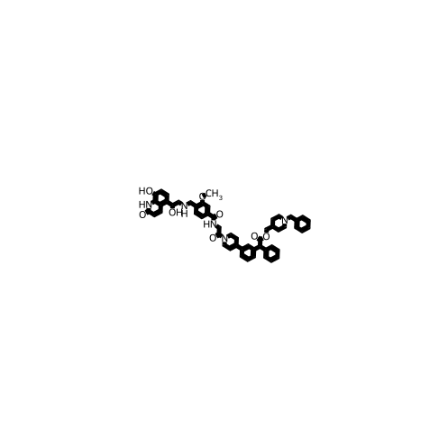 COc1cc(C(=O)NCC(=O)N2CC=C(c3cccc(C(C(=O)OCC4CCN(Cc5ccccc5)CC4)c4ccccc4)c3)CC2)ccc1CNCC(O)c1ccc(O)c2[nH]c(=O)ccc12